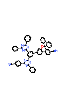 N#Cc1ccc(-c2nc(-c3ccccc3)nc(-c3cc(-c4ccc5c(c4)OC(c4ccccc4)(c4ccccc4)c4cc(C#N)ccc4-5)cc(-c4nc(-c5ccccc5)nc(-c5ccccc5)n4)c3)n2)cc1